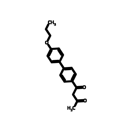 CCCOc1ccc(-c2ccc(C(=O)CC(C)=O)cc2)cc1